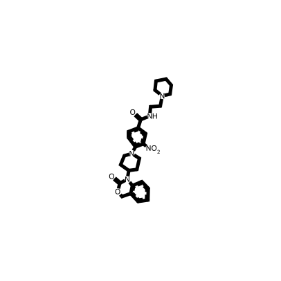 O=C(NCCN1CCCCC1)c1ccc(N2CCC(N3C(=O)OCc4ccccc43)CC2)c([N+](=O)[O-])c1